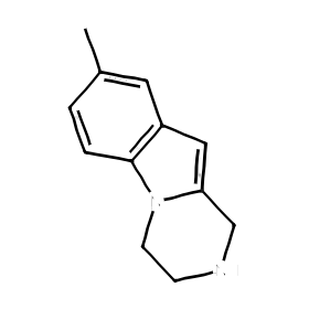 Cc1ccc2c(c1)cc1n2CCNC1